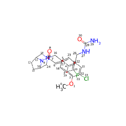 COc1cc(C=CC(=O)N2C3CCC2CN(Cc2ccc(F)cc2)C3)c(CNC(N)=O)cc1Cl